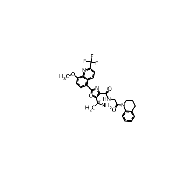 COc1ccc(-c2nc(C(=O)NCC(=O)N3CCCc4ccccc43)c([C@H](C)N)o2)c2ccc(C(F)(F)F)nc12